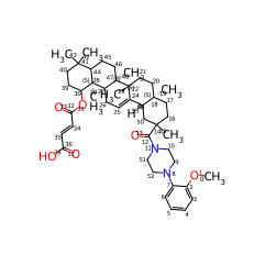 COc1ccccc1N1CCN(C(=O)C2(C)CC[C@]3(C)CC[C@]4(C)C(=CCC5[C@@]6(C)C(OC(=O)C=CC(=O)O)CCC(C)(C)C6CC[C@]54C)[C@@H]3C2)CC1